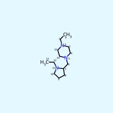 CCN1CCN(CC2CCCN2CC)CC1